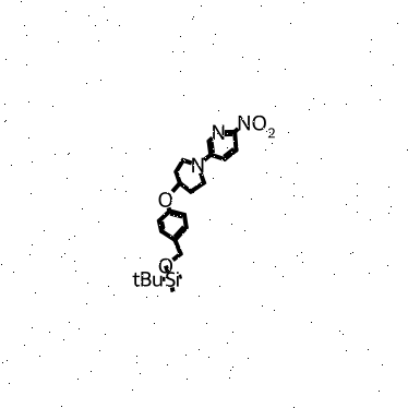 CC(C)(C)[Si](C)(C)OCc1ccc(OC2CCN(c3ccc([N+](=O)[O-])nc3)CC2)cc1